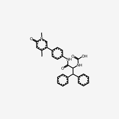 Cc1cc(=O)n(C)cc1-c1ccc(NC(=O)C(NC(=O)O)C(c2ccccc2)c2ccccc2)cc1